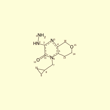 NNc1nc2c(n(CC3CC3)c1=O)CCOC2